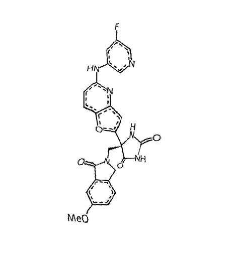 COc1ccc2c(c1)C(=O)N(C[C@@]1(c3cc4nc(Nc5cncc(F)c5)ccc4o3)NC(=O)NC1=O)C2